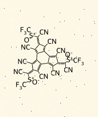 N#CC(=C1C(C#N)=c2c3c(c4c(c2=C1C#N)=C(C#N)C(=C(C#N)[S+]([O-])C(F)(F)F)C=4C#N)=C(C#N)C(=C(C#N)[S+]([O-])C(F)(F)F)C=3C#N)[S+]([O-])C(F)(F)F